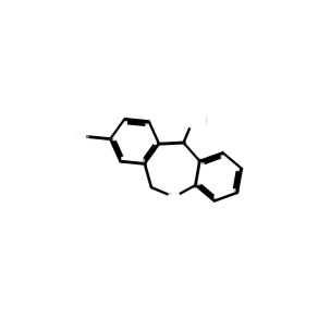 CC1c2ccc(Cl)cc2CSc2ccccc21